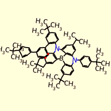 CC(C)c1cc2c3c(c1)N(c1ccc(C(C)(C)C)cc1-c1cccc(-c4ccc(C(C)(C)C)cc4)c1)c1cc4c(cc1B3c1cc(C(C)(C)C)ccc1N2c1ccc(C(C)(C)C)cc1)CC(C)(C)C4